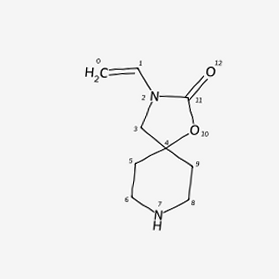 C=CN1CC2(CCNCC2)OC1=O